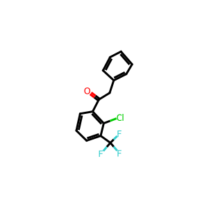 O=C(Cc1ccccc1)c1cccc(C(F)(F)F)c1Cl